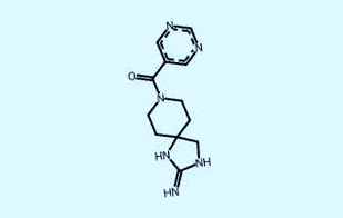 N=C1NCC2(CCN(C(=O)c3cncnc3)CC2)N1